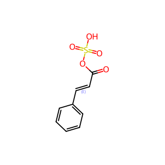 O=C(/C=C/c1ccccc1)OS(=O)(=O)O